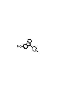 CN1CCC(c2c3n(c4cc(O)ccc24)CCC3)CC1